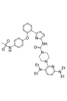 CCN(CC)c1ccc(N(CC)CC)c(N2CCN(C(=O)Nc3nc(-c4ccccc4Oc4ccc(NS(C)(=O)=O)cc4)cs3)CC2)n1